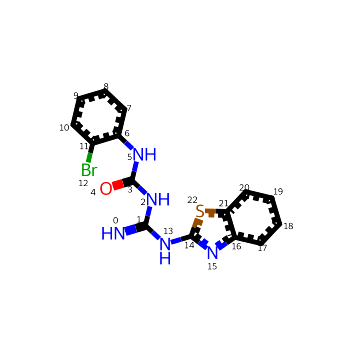 N=C(NC(=O)Nc1ccccc1Br)Nc1nc2ccccc2s1